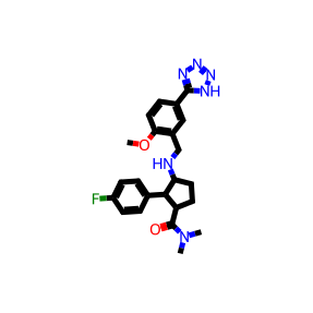 COc1ccc(-c2nnn[nH]2)cc1CNC1CCC(C(=O)N(C)C)C1c1ccc(F)cc1